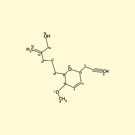 C#CCC1C=CC(OC)C(CCCC(=C)CO)O1